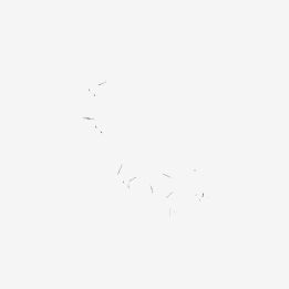 COc1c(C(C)(C)C)cc(-c2ncc(C3CCN(C(=O)CN4CCOC4=O)CC3)s2)cc1C(C)(C)C